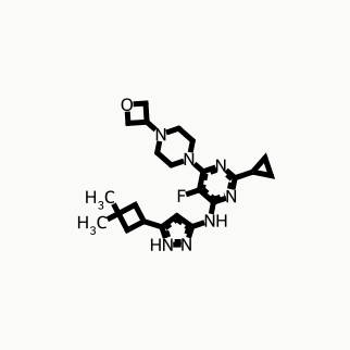 CC1(C)CC(c2cc(Nc3nc(C4CC4)nc(N4CCN(C5COC5)CC4)c3F)n[nH]2)C1